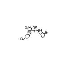 O=[N+]([O-])c1cnc(NCc2cccc(Br)c2)nc1NCC1CCC(CO)CC1